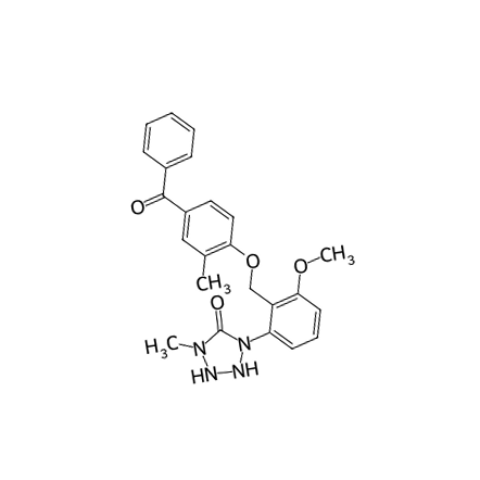 COc1cccc(N2NNN(C)C2=O)c1COc1ccc(C(=O)c2ccccc2)cc1C